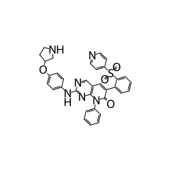 O=c1c(-c2ccccc2S(=O)(=O)c2ccncc2)cc2cnc(Nc3ccc(OC4CCNC4)cc3)nc2n1-c1ccccc1